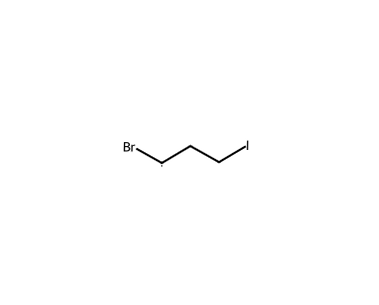 Br[CH]CCI